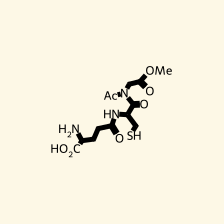 COC(=O)CN(C(C)=O)C(=O)C(CS)NC(=O)CCC(N)C(=O)O